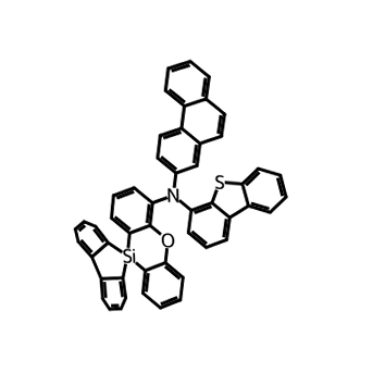 c1ccc2c(c1)Oc1c(N(c3ccc4c(ccc5ccccc54)c3)c3cccc4c3sc3ccccc34)cccc1[Si]21c2ccccc2-c2ccccc21